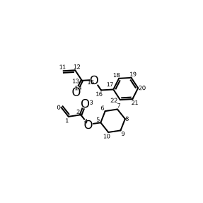 C=CC(=O)OC1CCCCC1.C=CC(=O)OCc1ccccc1